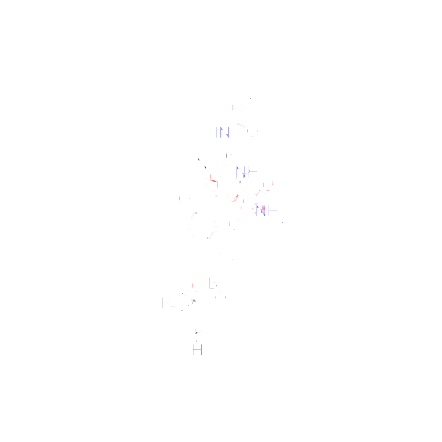 CC(C)(C)OC(=O)N[C@](C)(CN1CC(Oc2ccc(C3CC3B3OC4C[C@@H]5C[C@@H](C5(C)C)[C@]4(C)O3)c(OC(=O)OC(C)(C)C)c2C(=O)OC(C)(C)C)C1)C(=O)NCC(N)=O